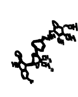 CC1(C)O/C(=C2/C(=O)Nc3ccc(F)cc32)C=C1c1ccc(CNC[C@H]2O[C@H](CO)[C@@H](O)[C@@H]2O)cc1